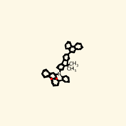 CC1(C)c2cc(-c3cc4ccccc4c4ccccc34)ccc2-c2ccc(N(c3ccc4ccccc4c3)c3ccccc3-c3ccccc3)cc21